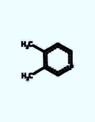 Cc1ccpcc1C